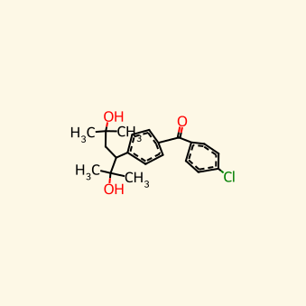 CC(C)(O)CC(c1ccc(C(=O)c2ccc(Cl)cc2)cc1)C(C)(C)O